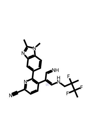 Cc1nc2cc(-c3nc(C#N)ccc3/C(C=N)=C/NCC(C)(F)C(C)(F)F)ccc2n1C